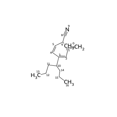 C=C/C=C(\C=C/C(C)C#N)C(CCC)CCC